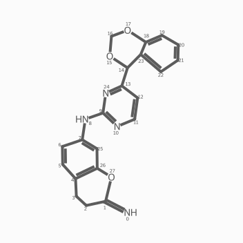 N=C1CCc2ccc(Nc3nccc(C4OCOc5ccccc54)n3)cc2O1